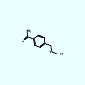 NC(=O)c1ccc(CNC=O)cc1